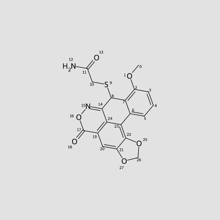 COc1cccc2c1C(SCC(N)=O)c1noc(=O)c3cc4c(c-2c13)OCO4